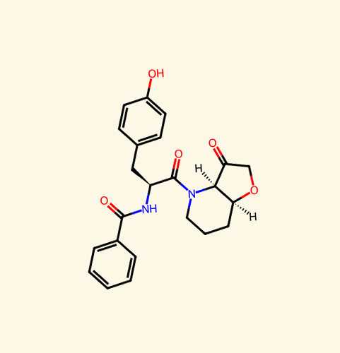 O=C(N[C@@H](Cc1ccc(O)cc1)C(=O)N1CCC[C@@H]2OCC(=O)[C@@H]21)c1ccccc1